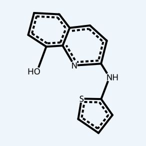 Oc1cccc2ccc(Nc3cccs3)nc12